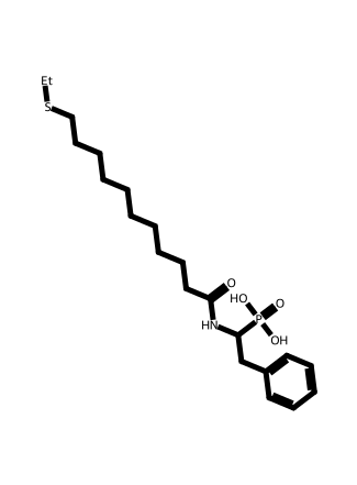 CCSCCCCCCCCCCC(=O)NC(Cc1ccccc1)P(=O)(O)O